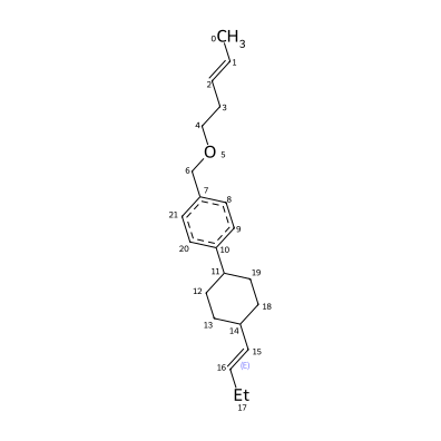 CC=CCCOCc1ccc(C2CCC(/C=C/CC)CC2)cc1